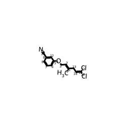 C/C(=C\COc1cccc(C#N)c1)CC=C(Cl)Cl